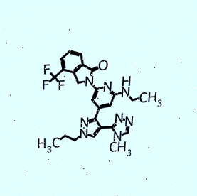 CCCn1cc(-c2nncn2C)c(-c2cc(NCC)nc(N3Cc4c(cccc4C(F)(F)F)C3=O)c2)n1